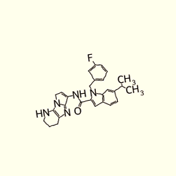 CC(C)c1ccc2cc(C(=O)NC3=CCn4c3nc3c4NCCC3)n(Cc3cccc(F)c3)c2c1